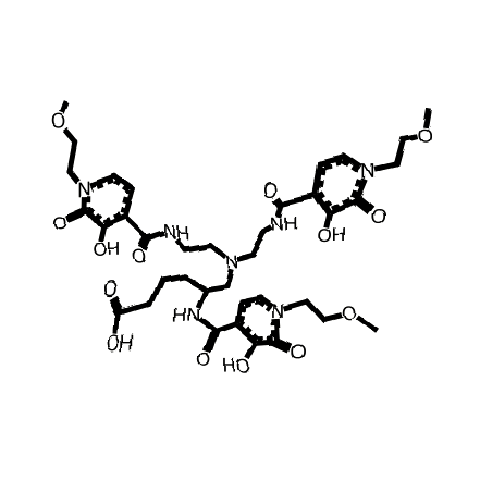 COCCn1ccc(C(=O)NCCN(CCNC(=O)c2ccn(CCOC)c(=O)c2O)CC(CCCC(=O)O)NC(=O)c2ccn(CCOC)c(=O)c2O)c(O)c1=O